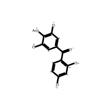 CC(=O)Oc1c(Cl)cc(C(=O)c2ccc(Cl)cc2Cl)cc1Cl